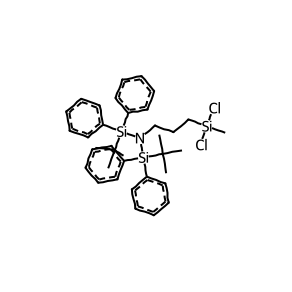 CC(C)(C)[Si](c1ccccc1)(c1ccccc1)N(CCC[Si](C)(Cl)Cl)[Si](c1ccccc1)(c1ccccc1)C(C)(C)C